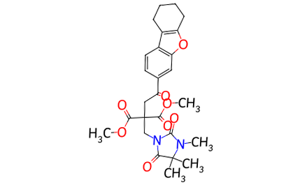 COC(=O)C(CC(=O)c1ccc2c3c(oc2c1)CCCC3)(CN1C(=O)N(C)C(C)(C)C1=O)C(=O)OC